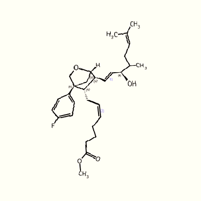 COC(=O)CCC/C=C\C[C@H]1[C@H](/C=C/[C@H](O)C(C)CC=C(C)C)[C@@H]2C[C@@]1(c1ccc(F)cc1)CO2